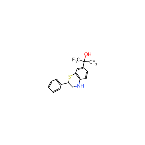 OC(c1ccc2c(c1)SC(c1ccccc1)CN2)(C(F)(F)F)C(F)(F)F